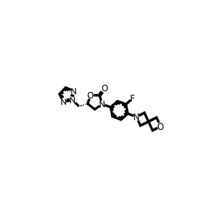 O=C1O[C@@H](Cn2nccn2)CN1c1ccc(N2CC3(COC3)C2)c(F)c1